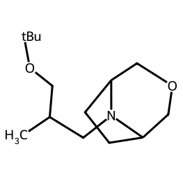 CC(COC(C)(C)C)CN1C2CCC1COC2